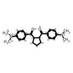 CN(C)c1ccc(C(=O)C2CCCC2C(=O)c2ccc(N(C)C)cc2)cc1